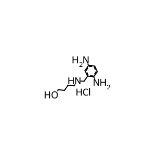 Cl.Nc1ccc(N)c(CNCCCCO)c1